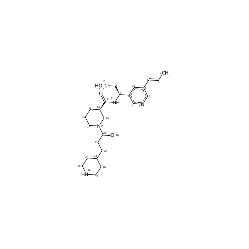 C/C=C/c1cncc([C@H](CC(=O)O)NC(=O)[C@@H]2CCCN(C(=O)CCC3CCNCC3)C2)c1